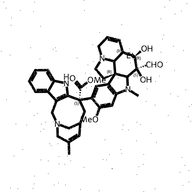 CC[C@]12C=CCN3CC[C@@]4(c5cc([C@@]6(C(=O)OC)CC7C=C(C)CN(Cc8c6[nH]c6ccccc86)C7)c(OC)cc5N(C)C4[C@@](O)(C=O)[C@@H]1O)C32